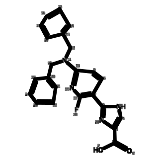 O=C(O)c1c[nH]c(-c2ccc(N(Cc3ccccc3)Cc3ccccc3)nc2F)n1